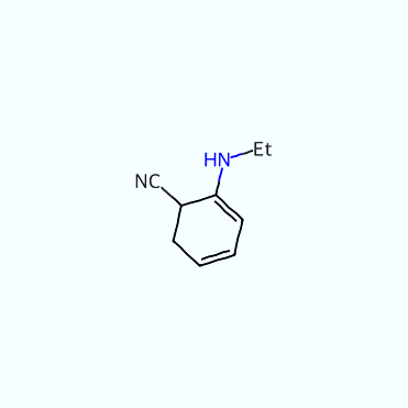 CCNC1=CC=CCC1C#N